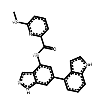 CNc1cccc(C(=O)Nc2cc(-c3cccc4[nH]ccc34)cc3[nH]ncc23)n1